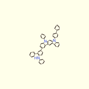 c1ccc(Nc2ccc(-c3ccc4c(c3)c3cc5c6ccccc6n(-c6ccc(-c7ccccc7)cc6)c5cc3n4-c3ccccc3)cc2-c2ccccc2)cc1